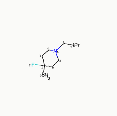 BC1(F)CCN(CC(C)C)CC1